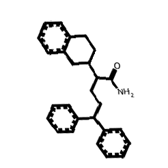 NC(=O)C(CCC(c1ccccc1)c1ccccc1)C1CCc2ccccc2C1